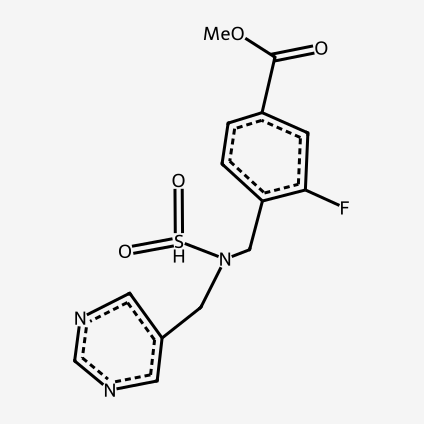 COC(=O)c1ccc(CN(Cc2cncnc2)[SH](=O)=O)c(F)c1